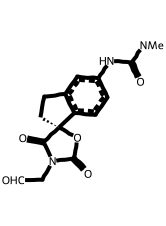 CNC(=O)Nc1ccc2c(c1)CC[C@@]21OC(=O)N(CC=O)C1=O